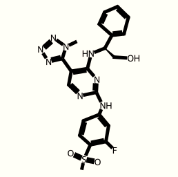 Cn1nnnc1-c1cnc(Nc2ccc(S(C)(=O)=O)c(F)c2)nc1N[C@H](CO)c1ccccc1